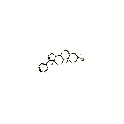 C[C@]1(O)CC[C@@]2(C)C(=CCC3C2CC[C@]2(C)C(c4cccnc4)=CCC32)C1